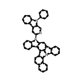 c1ccc(-n2c3ccccc3c3cc(-n4c5ccccc5c5c6c7ccc8ccccc8c7n7c8ccccc8c(cc54)c67)ncc32)cc1